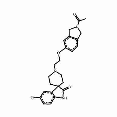 CC(=O)N1Cc2ccc(OCCN3CCC4(CC3)C(=O)Nc3ccc(Cl)cc34)cc2C1